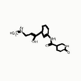 O=C(O)NCCC(O)c1cccc(NC(=O)C2CCC(=O)NC2)c1